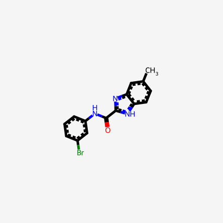 Cc1ccc2[nH]c(C(=O)Nc3cccc(Br)c3)nc2c1